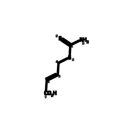 NC(=S)SCC=CC(=O)O